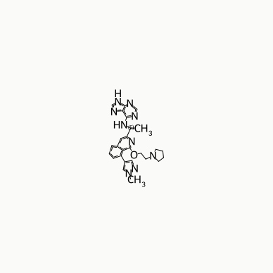 C[C@H](Nc1ncnc2[nH]cnc12)c1cc2cccc(-c3cnn(C)c3)c2c(OCCN2CCCC2)n1